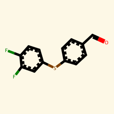 O=Cc1ccc(Sc2ccc(F)c(F)c2)cc1